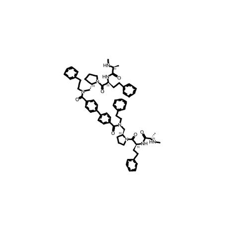 CN[C@@H](C)C(=O)N[C@@H](CCc1ccccc1)C(=O)N1CCC[C@H]1CN(CCc1ccccc1)C(=O)c1ccc(-c2ccc(C(=O)N(CCc3ccccc3)C[C@@H]3CCCN3C(=O)[C@H](CCc3ccccc3)NC(=O)[C@H](C)NC)cc2)cc1